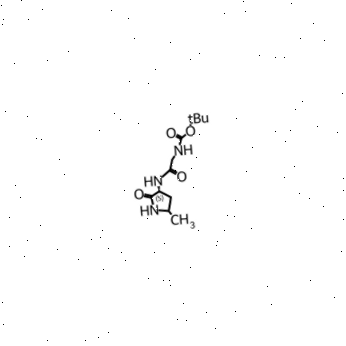 CC1C[C@H](NC(=O)CNC(=O)OC(C)(C)C)C(=O)N1